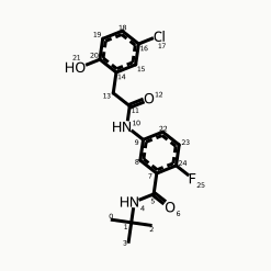 CC(C)(C)NC(=O)c1cc(NC(=O)Cc2cc(Cl)ccc2O)ccc1F